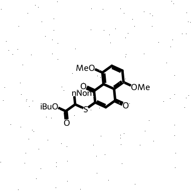 CCCCCCCCCC(SC1=CC(=O)c2c(OC)ccc(OC)c2C1=O)C(=O)OCC(C)C